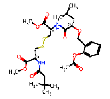 COC(=O)[C@H](CSSC[C@H](NC(=O)[C@H](CC(C)C)OCc1ccccc1OC(C)=O)C(=O)OC)NC(=O)CC(C)(C)C